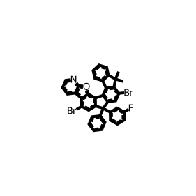 CC1(C)c2ccccc2-c2c3c(cc(Br)c21)C(c1ccccc1)(c1cccc(F)c1)c1cc(Br)c2c(oc4ncccc42)c1-3